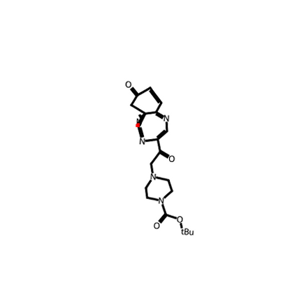 CC(C)(C)OC(=O)N1CCN(CC(=O)C2=CN=C3C=CC(=O)CC34C=CC=NC4=N2)CC1